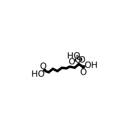 O=C(O)CCCCCCCC(C(=O)O)S(=O)(=O)O